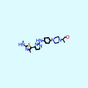 CNc1nc(C)c(-c2ccnc(Nc3ccc(N4CCN(C(C)C=O)CC4)cc3)n2)s1